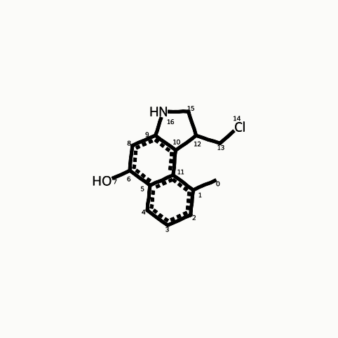 Cc1cccc2c(O)cc3c(c12)C(CCl)CN3